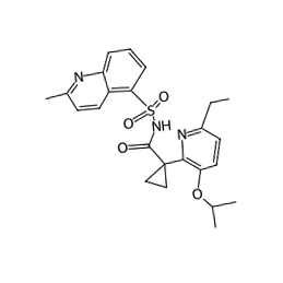 CCc1ccc(OC(C)C)c(C2(C(=O)NS(=O)(=O)c3cccc4nc(C)ccc34)CC2)n1